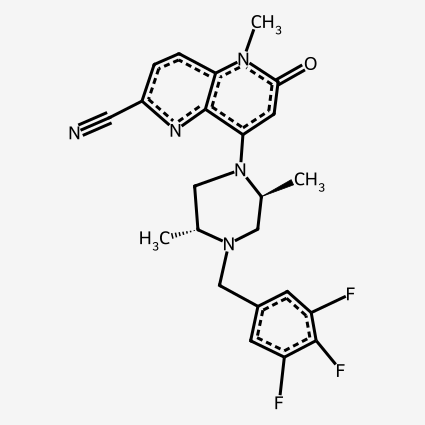 C[C@@H]1CN(c2cc(=O)n(C)c3ccc(C#N)nc23)[C@@H](C)CN1Cc1cc(F)c(F)c(F)c1